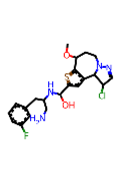 COC1CCN2N=CC(Cl)C2c2cc(C(O)NC(CN)Cc3cccc(F)c3)sc21